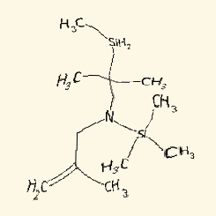 C=C(C)CN(C(C)(C)[SiH2]C)[Si](C)(C)C